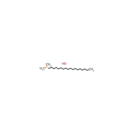 Br.CCCCCCCCCCCCCCCCCCP(C)C